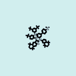 CC(C)(C)c1cc(N2c3cc(C(C)(C)C)ccc3B3c4c2cc(-c2ccc(S(C)(C)C)cc2)cc4N(c2ccc4c(c2)C(C)(C)CCC4(C)C)c2sc4cc5c(cc4c23)C(C)(C)CCC5(C)C)cc(C(C)(C)C)c1